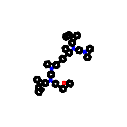 c1ccc2c(c1)-c1cc(N(c3ccc(-n4c5ccccc5c5ccccc54)cc3)c3ccc(-c4ccc(-c5ccc6c(c5)c5ccccc5n6-c5ccc(N(c6ccc(-c7cccc8c7oc7ccccc78)cc6)c6ccc7c(c6)-c6ccccc6C76C7CC8CC9CC6C9(C8)C7)cc5)cc4)c4ccccc34)ccc1C21C2CC3CC(C2)CC1C3